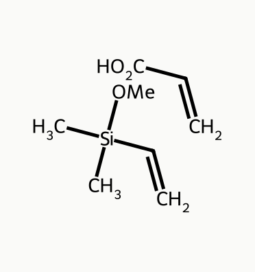 C=CC(=O)O.C=C[Si](C)(C)OC